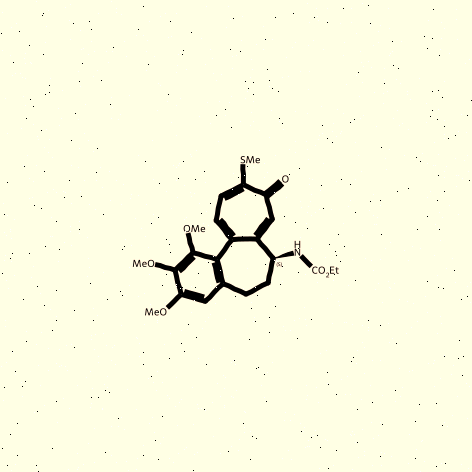 CCOC(=O)N[C@H]1CCc2cc(OC)c(OC)c(OC)c2-c2ccc(SC)c(=O)cc21